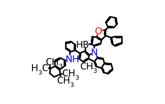 Cc1cc(-c2ccccc2Nc2ccc3c(c2)C(C)(C)CCC3(C)C)c2c3c1c1cc4ccccc4cc1n3-c1cc3c(-c4ccccc4)c(-c4ccccc4)oc3cc1B2